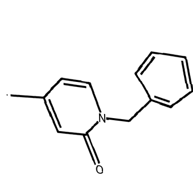 [CH2]c1ccn(Cc2ccccc2)c(=O)c1